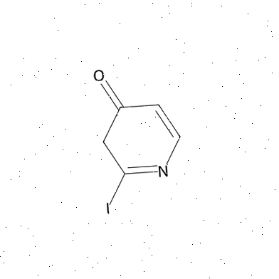 O=C1C=CN=C(I)C1